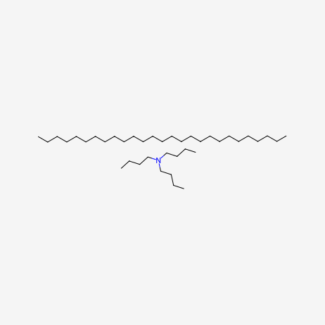 CCCCCCCCCCCCCCCCCCCCCCCCCCC.CCCCN(CCCC)CCCC